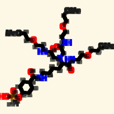 COCCOCCNC(=O)CN(CC(=O)NCCOCCOC)C(CCCCNC(=O)C1CCC(OP(=O)(O)C(C)C)CC1)C(=O)NCCOCCOC